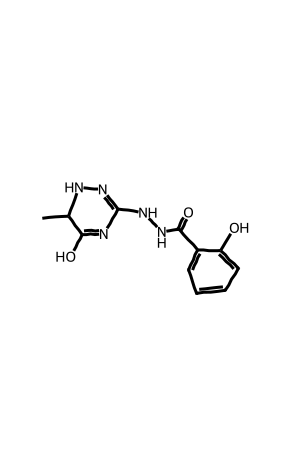 CC1NN=C(NNC(=O)c2ccccc2O)N=C1O